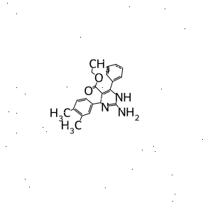 CCOC(=O)C1=C(c2ccccc2)NC(N)=NC1c1ccc(C)c(C)c1